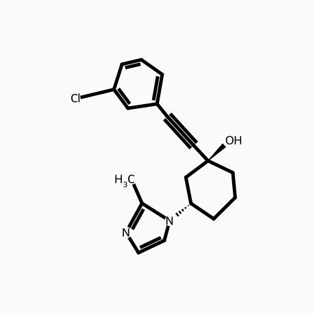 Cc1nccn1[C@H]1CCC[C@@](O)(C#Cc2cccc(Cl)c2)C1